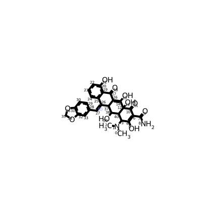 CN(C)C1C(O)=C(C(N)=O)C(=O)C2(O)C(O)=C3C(=O)c4c(O)cccc4/C(=C\c4ccc5c(c4)OCO5)C3C(O)C12